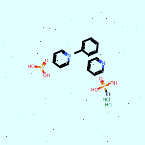 CCP(=O)(O)O.Cc1ccccc1.Cl.Cl.O=[P](O)O.c1ccncc1.c1ccncc1